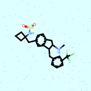 CNC1Cc2ccc(CC3(N[SH](=O)=O)CCC3)cc2C1Cc1cccc(C(F)(F)F)c1